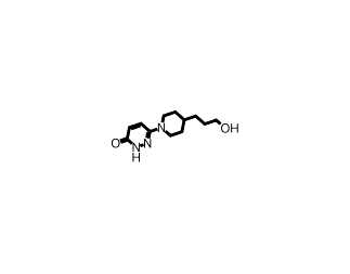 O=c1ccc(N2CCC(CCCO)CC2)n[nH]1